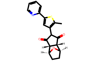 Cc1sc(-c2ccccn2)cc1C1C(=O)[C@@H]2[C@H](C1=O)[C@H]1CC[C@@H]2O1